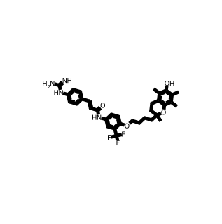 Cc1c(C)c2c(c(C)c1O)CCC(C)(CCCCOc1ccc(NC(=O)C=Cc3ccc(NC(=N)N)cc3)cc1C(F)(F)F)O2